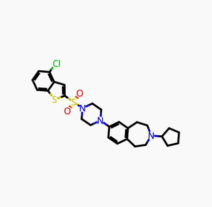 O=S(=O)(c1cc2c(Cl)cccc2s1)N1CCN(c2ccc3c(c2)CCN(C2CCCC2)CC3)CC1